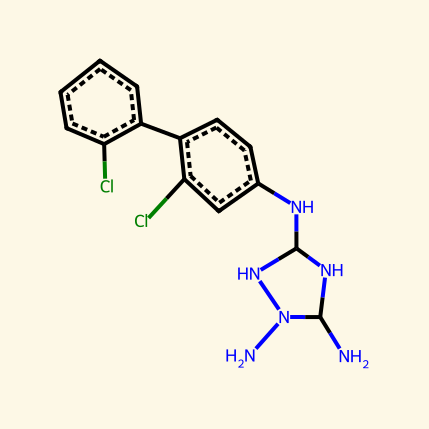 NC1NC(Nc2ccc(-c3ccccc3Cl)c(Cl)c2)NN1N